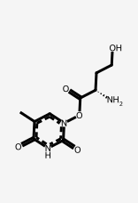 Cc1cn(OC(=O)[C@@H](N)CCO)c(=O)[nH]c1=O